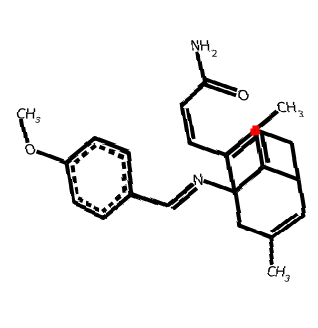 C/C=C1\C2C=C(C)CC1(N=Cc1ccc(OC)cc1)C(/C=C\C(N)=O)=CC2